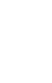 CC1(C)C(=O)N(C2C3CC4CC2CC(Cl)(C4)C3)N1c1ccc(F)c2ccccc12